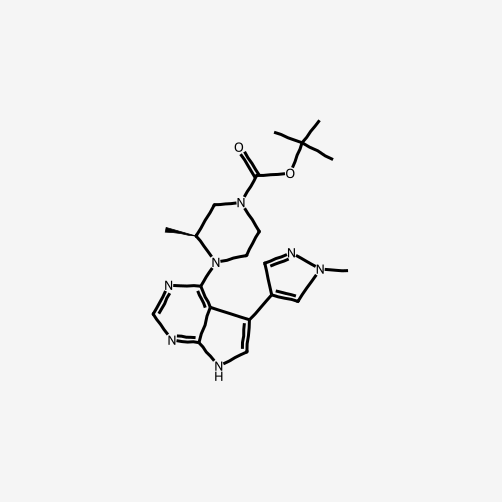 C[C@H]1CN(C(=O)OC(C)(C)C)CCN1c1ncnc2[nH]cc(-c3cnn(C)c3)c12